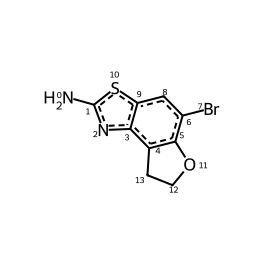 Nc1nc2c3c(c(Br)cc2s1)OCC3